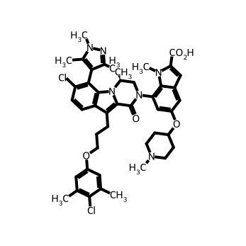 Cc1cc(OCCCc2c3n(c4c(-c5c(C)nn(C)c5C)c(Cl)ccc24)[C@H](C)CN(c2cc(OC4CCN(C)CC4)cc4cc(C(=O)O)n(C)c24)C3=O)cc(C)c1Cl